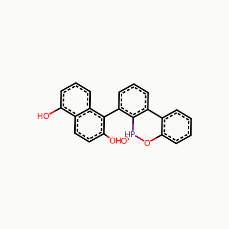 O=[PH]1Oc2ccccc2-c2cccc(-c3c(O)ccc4c(O)cccc34)c21